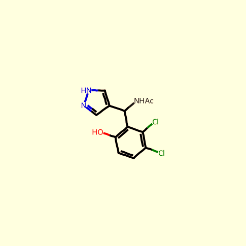 CC(=O)NC(c1cn[nH]c1)c1c(O)ccc(Cl)c1Cl